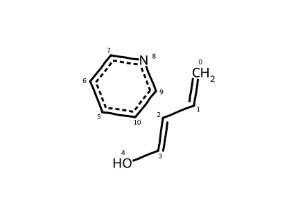 C=CC=CO.c1ccncc1